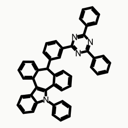 c1ccc(-c2nc(-c3ccccc3)nc(-c3cccc(C4c5ccccc5-c5c(n(-c6ccccc6)c6ccccc56)-c5ccccc54)c3)n2)cc1